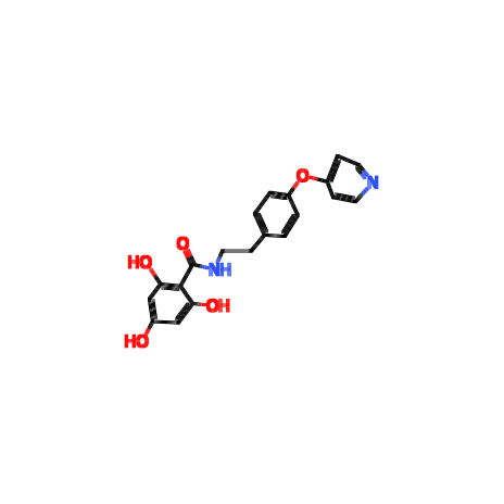 O=C(NCCc1ccc(Oc2ccncc2)cc1)c1c(O)cc(O)cc1O